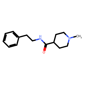 CN1CCC(C(=O)NCCc2ccccc2)CC1